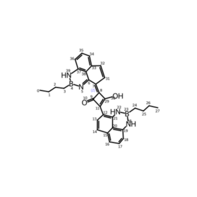 CCCCB1N=c2/c(=C3\C(=O)C(c4ccc5cccc6c5c4NB(CCCC)N6)=C3O)ccc3cccc(c23)N1